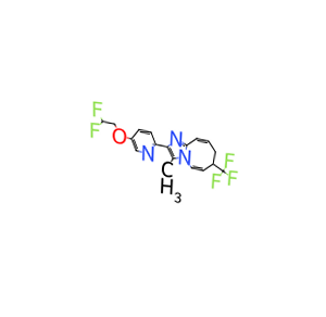 Cc1c(-c2ccc(OCC(F)F)cn2)nc2n1C=CC(C(F)(F)F)CC=C2